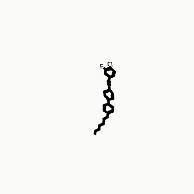 CCCCCCCc1ccc(-c2ccc(C#Cc3ccc(Cl)c(F)c3)cc2)cc1